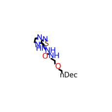 CCCCCCCCCCCCOCCCNC(=O)NNc1snc2nccnc12